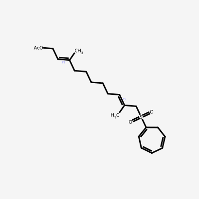 CC(=O)OC/C=C(\C)CCCCC/C=C(\C)CS(=O)(=O)C1=CC=CC=CC1